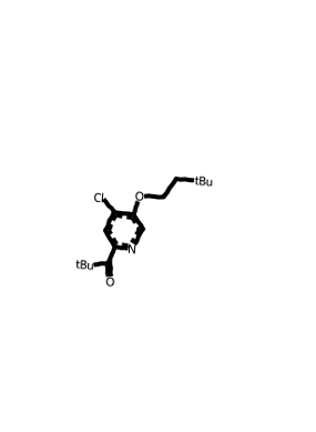 CC(C)(C)CCOc1cnc(C(=O)C(C)(C)C)cc1Cl